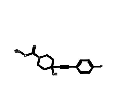 CC(C)(C)OC(=O)N1CCC(O)(C#Cc2ccc(F)cc2)CC1